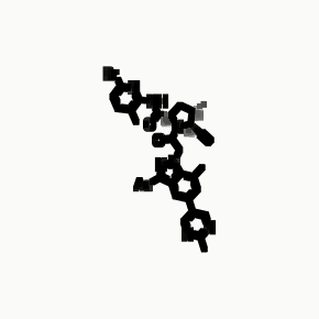 C#C[C@@H]1[C@@H](C)C[C@@H](C(=O)Nc2nc(Br)ccc2C)N1C(=O)Cn1nc(C(C)=O)c2cc(-c3cnc(C)nc3)cc(C)c21